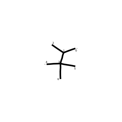 [CH2]C(C)C([CH2])(C)C